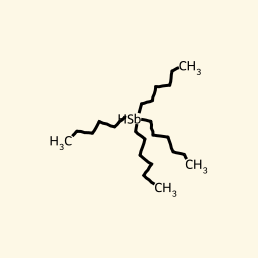 CCCCC[CH2][SbH]([CH2]CCCCC)([CH2]CCCCC)[CH2]CCCCC